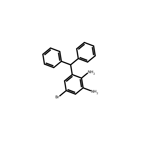 Nc1cc(Br)cc(C(c2ccccc2)c2ccccc2)c1N